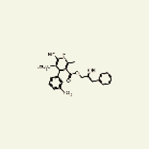 CCOC(=O)C1=C(C#N)NC(C)=C(C(=O)OCC(O)Cc2ccccc2)C1c1cccc([N+](=O)[O-])c1